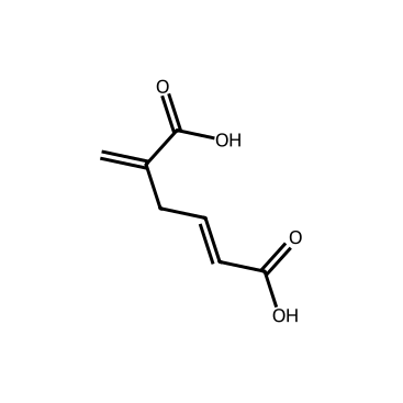 C=C(CC=CC(=O)O)C(=O)O